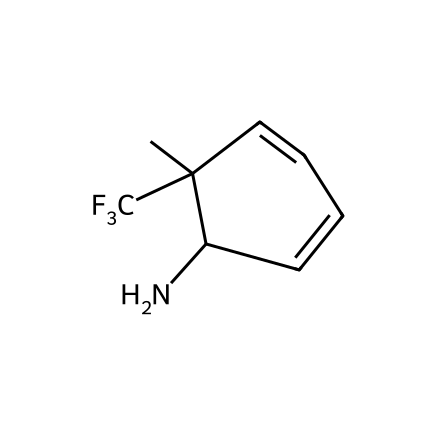 CC1(C(F)(F)F)C=CC=CC1N